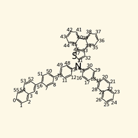 c1ccc2cc(-c3ccc(-c4ccc(N(c5ccc(-c6ccc7ccccc7c6)cc5)c5cc6c7ccccc7c7ccccc7c6s5)cc4)cc3)ccc2c1